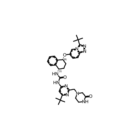 CC(C)(C)c1cc(NC(=O)N[C@H]2CC[C@@H](Oc3ccc4nnc(C(C)(C)C)n4c3)c3ccccc32)nc(CN2CCNC(=O)C2)n1